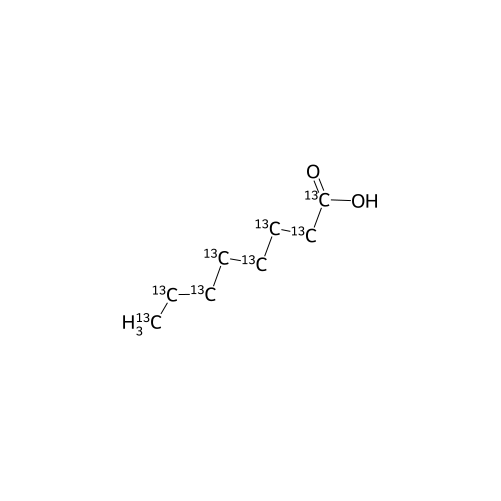 [13CH3][13CH2][13CH2][13CH2][13CH2][13CH2][13CH2][13C](=O)O